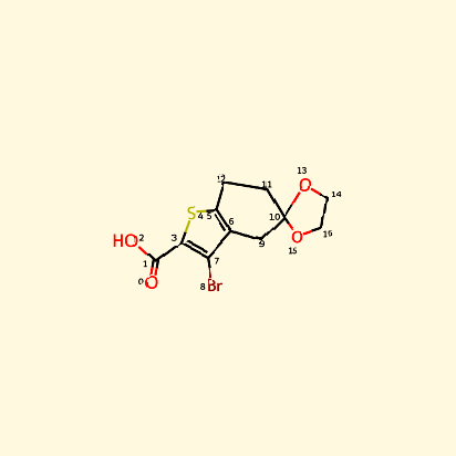 O=C(O)c1sc2c(c1Br)CC1(CC2)OCCO1